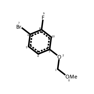 COCOc1ccc(Br)c(F)c1